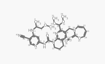 COCC(C)Nc1cc(NC(=O)N2CCCc3cc(CN4C=CC=COC4=C=O)c(C(OC)OC)nc32)ncc1C#N